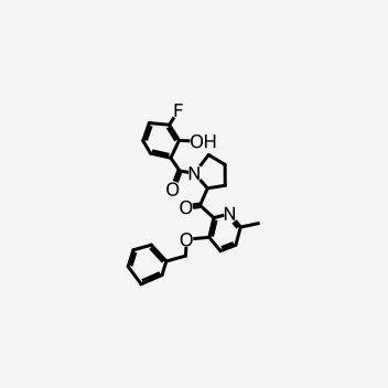 Cc1ccc(OCc2ccccc2)c(C(=O)C2CCCN2C(=O)c2cccc(F)c2O)n1